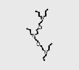 CCCN(CCC)CCOCCN(CCC)CCOCCN(CCC)CCC